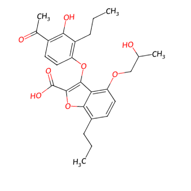 CCCc1c(Oc2c(C(=O)O)oc3c(CCC)ccc(OCC(C)O)c23)ccc(C(C)=O)c1O